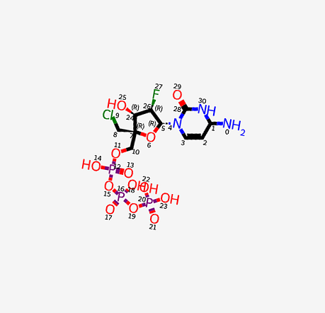 NC1C=CN([C@@H]2O[C@](CCl)(COP(=O)(O)OP(=O)(O)OP(=O)(O)O)[C@@H](O)[C@H]2F)C(=O)N1